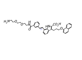 NCCOCCOCCNC(=O)c1cccc(/C=C/c2cccc3c(CCCOc4cccc5ccccc45)c(C(=O)O)[nH]c23)c1